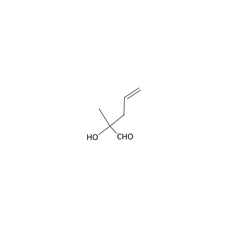 C=CCC(C)(O)C=O